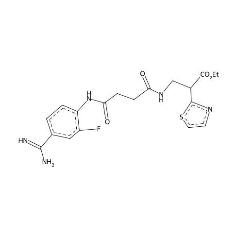 CCOC(=O)C(CNC(=O)CCC(=O)Nc1ccc(C(=N)N)cc1F)c1nccs1